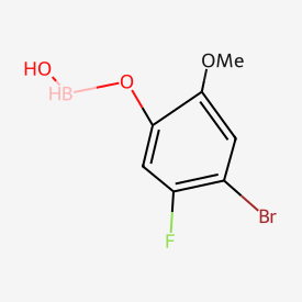 COc1cc(Br)c(F)cc1OBO